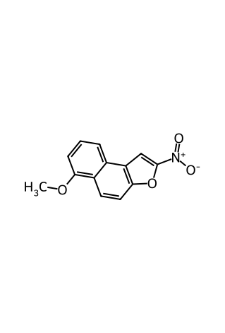 COc1cccc2c1ccc1oc([N+](=O)[O-])cc12